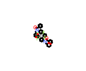 O=C(c1ccccc1)N(CC1CCCCC1)c1ccc(F)[c]([Ti]([C]2=CC=CC2)([C]2=CC=CC2)[c]2c(F)ccc(N(CC3CCCCC3)C(=O)c3ccccc3)c2F)c1F